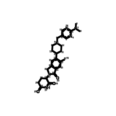 CN(C)c1ncc(CN2CCC(c3cc4c(cc3F)C(=O)N(C3CCC(=O)NC3=O)C4)CC2)cn1